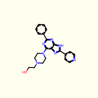 OCCN1CCN(c2nc(-c3ccccc3)nc3[nH]c(-c4ccncc4)nc23)CC1